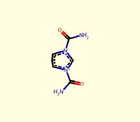 NC(=O)n1cc[n+](C(N)=O)c1